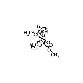 CCOC(=O)CP(=O)(CP(=O)(CP(=O)(CP(=O)(O)CBr)OCC)OCC)OCC